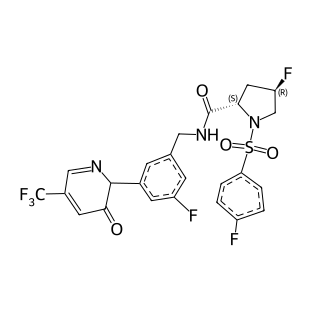 O=C1C=C(C(F)(F)F)C=NC1c1cc(F)cc(CNC(=O)[C@@H]2C[C@@H](F)CN2S(=O)(=O)c2ccc(F)cc2)c1